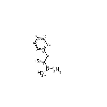 CN(C)C(=S)Cc1ccccn1